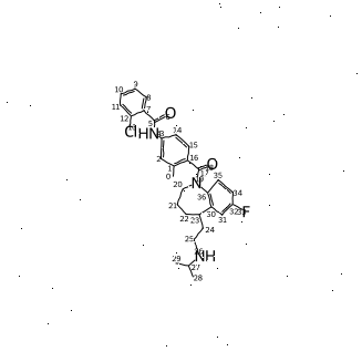 Cc1cc(NC(=O)c2ccccc2Cl)ccc1C(=O)N1CCCC(CCNC(C)C)c2cc(F)ccc21